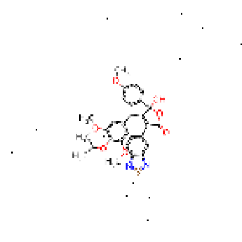 COc1ccc(C2(O)OC(=O)C(c3ccc4nsnc4c3)=C2Cc2cc(OC)c(OC(C)C)c(OC)c2)cc1